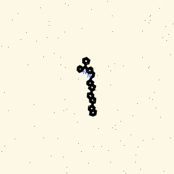 c1ccc(-c2c3ccccc3nc3c2ccc2ccc(-c4ccc5cc(-c6ccc7cc(-c8ccc9ccccc9c8)ccc7c6)ccc5c4)nc23)cc1